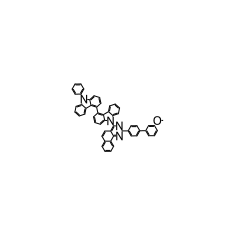 COc1cccc(-c2ccc(-c3nc(-n4c5ccccc5c5c(-c6cccc7c6c6ccccc6n7-c6ccccc6)cccc54)c4ccc5ccccc5c4n3)cc2)c1